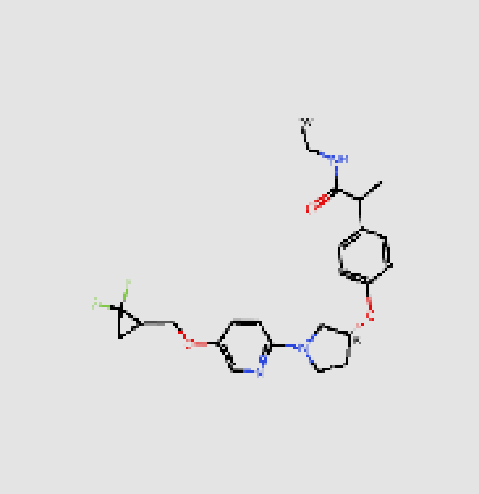 CC(C)CNC(=O)C(C)c1ccc(O[C@@H]2CCN(c3ccc(OCC4CC4(F)F)cn3)C2)cc1